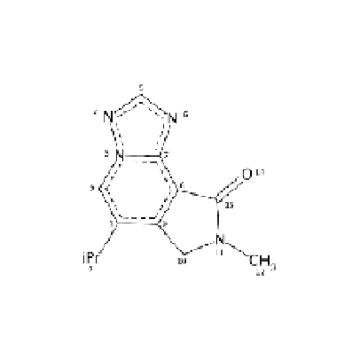 CC(C)c1cn2ncnc2c2c1CN(C)C2=O